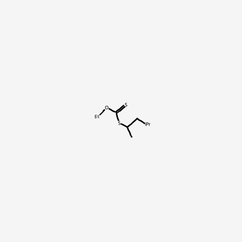 CCOC(=S)SC(C)CC(C)C